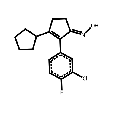 ON=C1CCC(C2CCCC2)=C1c1ccc(F)c(Cl)c1